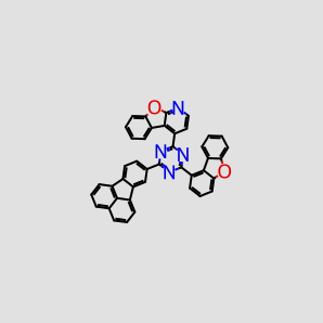 c1cc2c3c(cccc3c1)-c1cc(-c3nc(-c4cccc5oc6ccccc6c45)nc(-c4ccnc5oc6ccccc6c45)n3)ccc1-2